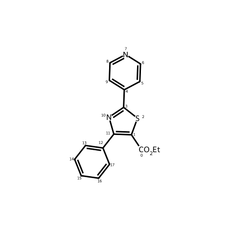 CCOC(=O)c1sc(-c2ccncc2)nc1-c1ccccc1